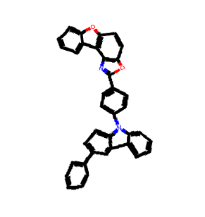 c1ccc(-c2ccc3c(c2)c2ccccc2n3-c2ccc(-c3nc4c(ccc5oc6ccccc6c54)o3)cc2)cc1